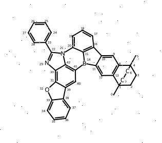 CC12CCC(C)(CC1)c1cc3c(cc12)B1c2c-3cccc2-n2c(-c3ccccc3)nc3c4oc5ccccc5c4cc1c32